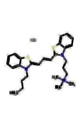 Br.C[N+](C)(C)CCCn1c2ccccc2s[c+]1C=CC=C1Sc2ccccc2N1CCCS(=O)(=O)O